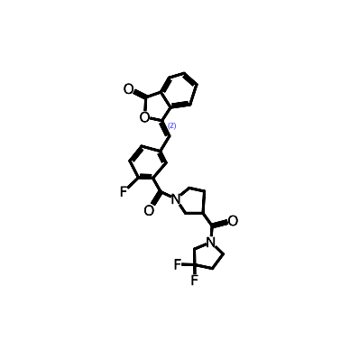 O=C1O/C(=C\c2ccc(F)c(C(=O)N3CCC(C(=O)N4CCC(F)(F)C4)C3)c2)c2ccccc21